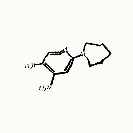 Nc1cnc(N2CCCCC2)cc1N